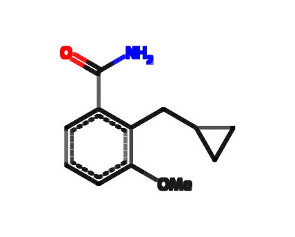 COc1cccc(C(N)=O)c1CC1CC1